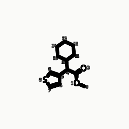 COC(=O)C(c1ccsc1)C1CCCCC1